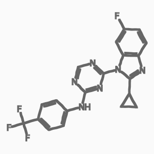 Fc1ccc2nc(C3CC3)n(-c3ncnc(Nc4ccc(C(F)(F)F)cc4)n3)c2c1